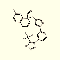 Cc1ccc2c(c1)C(C=O)(Cn1cnc(-c3cc(-c4nn[nH]c4C(F)(F)F)ccn3)c1)C=CC2